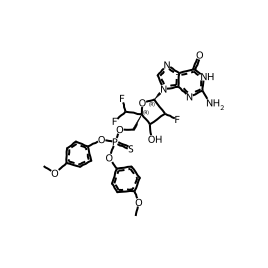 COc1ccc(OP(=S)(OC[C@@]2(C(F)F)O[C@@H](n3cnc4c(=O)[nH]c(N)nc43)C(F)C2O)Oc2ccc(OC)cc2)cc1